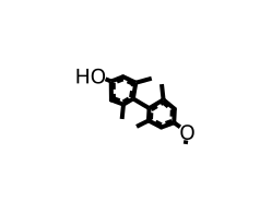 COc1cc(C)c(-c2c(C)cc(O)cc2C)c(C)c1